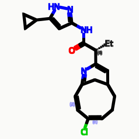 CC[C@@H](C(=O)Nc1cc(C2CC2)[nH]n1)C1=CC2CC/C=C(Cl)\C=C/C(=N1)C2